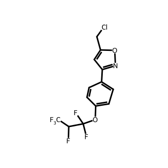 FC(C(F)(F)F)C(F)(F)Oc1ccc(-c2cc(CCl)on2)cc1